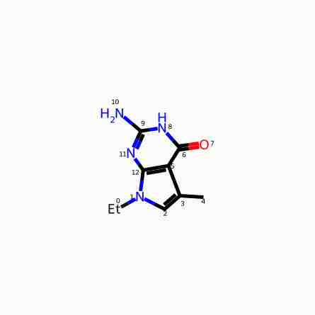 CCn1cc(C)c2c(=O)[nH]c(N)nc21